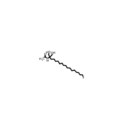 CC(=O)NC(CO)(CO)CCCCCCCCCCCCCCCCF